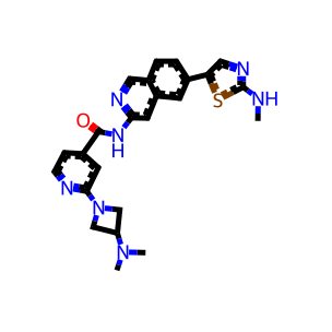 CNc1ncc(-c2ccc3cnc(NC(=O)c4ccnc(N5CC(N(C)C)C5)c4)cc3c2)s1